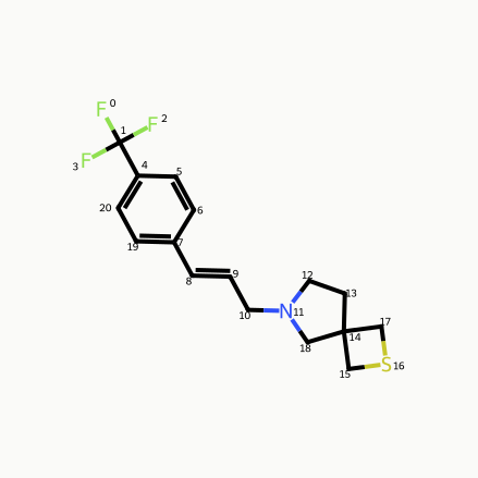 FC(F)(F)c1ccc(/C=C/CN2CCC3(CSC3)C2)cc1